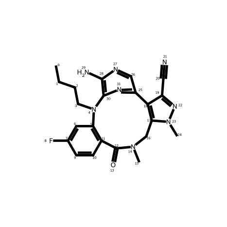 CCCCN1c2cc(F)ccc2C(=O)N(C)Cc2c(c(C#N)nn2C)-c2cnc(N)c1n2